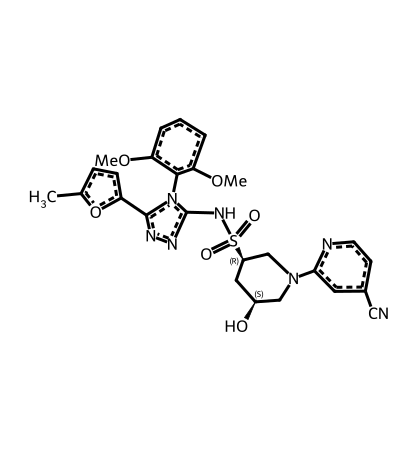 COc1cccc(OC)c1-n1c(NS(=O)(=O)[C@@H]2C[C@H](O)CN(c3cc(C#N)ccn3)C2)nnc1-c1ccc(C)o1